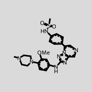 COc1cc(Nc2nc3cncc(-c4ccc(NS(C)(=O)=O)cc4)n3n2)ccc1N1CCN(C)CC1